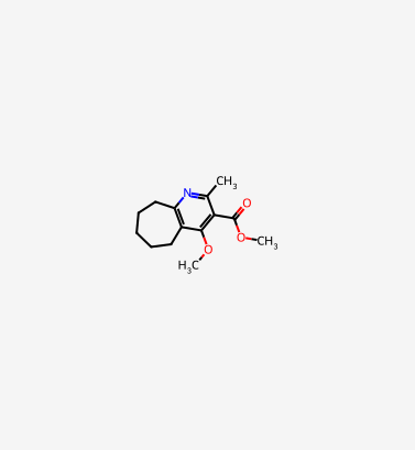 COC(=O)c1c(C)nc2c(c1OC)CCCCC2